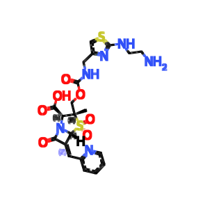 C[C@]1(COC(=O)NCc2csc(NCCN)n2)[C@H](C(=O)O)N2C(=O)/C(=C/c3ccccn3)[C@H]2S1(=O)=O